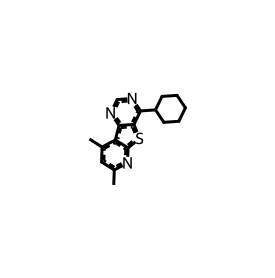 Cc1cc(C)c2c(n1)sc1c(C3CCCCC3)ncnc12